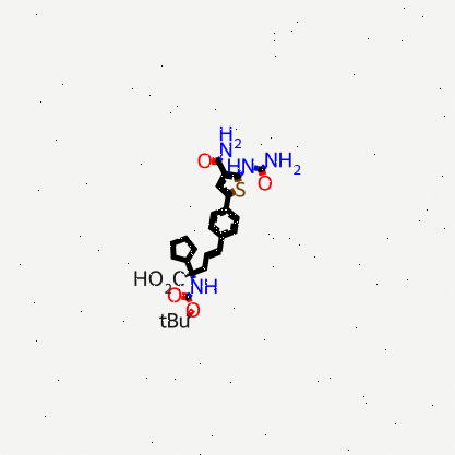 CC(C)(C)OC(=O)N[C@](CC=Cc1ccc(-c2cc(C(N)=O)c(NC(N)=O)s2)cc1)(C(=O)O)C1CCCC1